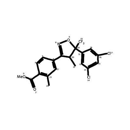 COC(=O)c1ccc(C2=NOC(c3cc(Cl)cc(Cl)c3)(C(F)(F)F)C2C)cc1C